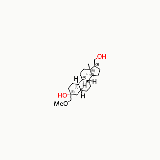 COC[C@@]1(O)CC[C@H]2[C@H](CC[C@@H]3[C@@H]2CC[C@]2(C)[C@@H](CO)CC[C@@]32C)C1